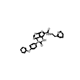 O=C(NCCc1ccccn1)c1sc2ncnc3c2c1NC(=O)N3c1ccc(Oc2ccccc2)cc1